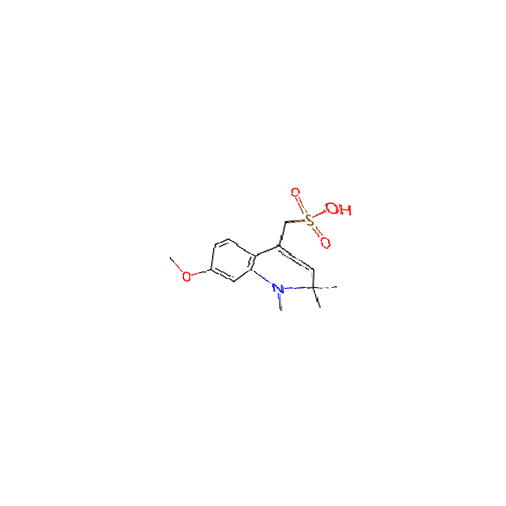 COc1ccc2c(c1)N(C)C(C)(C)C=C2CS(=O)(=O)O